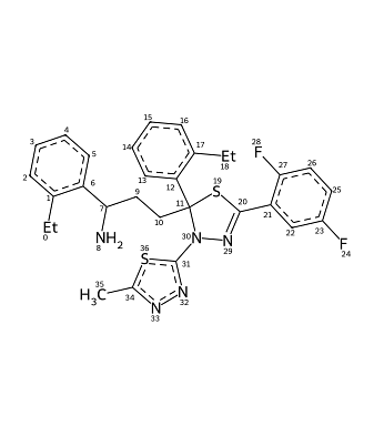 CCc1ccccc1C(N)CCC1(c2ccccc2CC)SC(c2cc(F)ccc2F)=NN1c1nnc(C)s1